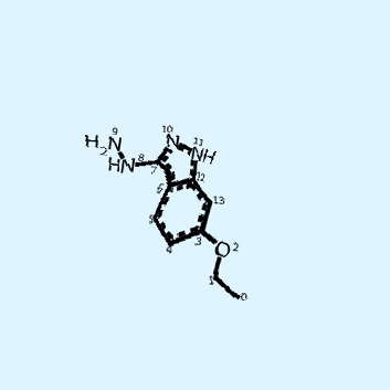 CCOc1ccc2c(NN)n[nH]c2c1